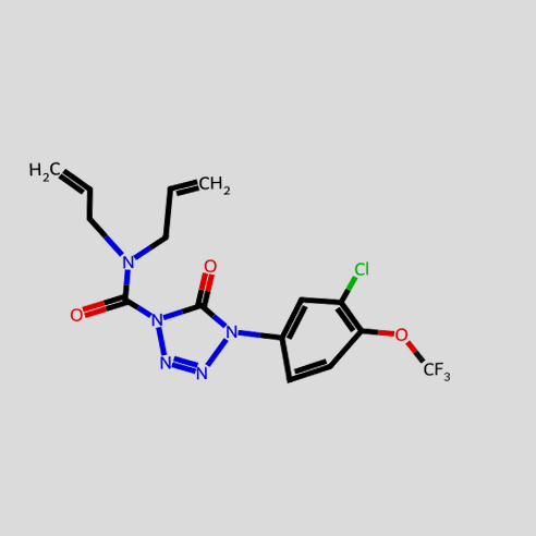 C=CCN(CC=C)C(=O)n1nnn(-c2ccc(OC(F)(F)F)c(Cl)c2)c1=O